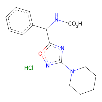 Cl.O=C(O)NC(c1ccccc1)c1nc(N2CCCCC2)no1